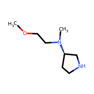 COCCN(C)[C@@H]1CCNC1